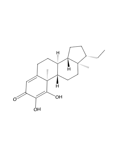 CC[C@H]1CC[C@H]2[C@@H]3CCC4=CC(=O)C(O)=C(O)[C@]4(C)[C@H]3CC[C@]12C